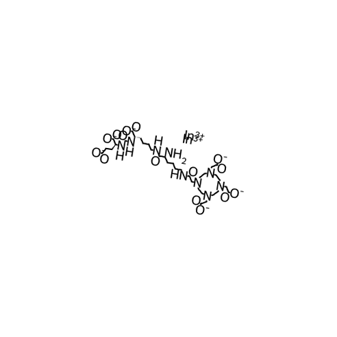 N[C@@H](CCCCNC(=O)CN1CCN(CC(=O)[O-])CCN(CC(=O)[O-])CCN(CC(=O)[O-])CC1)C(=O)NCCCC[C@H](NC(=O)N[C@@H](CCC(=O)[O-])C(=O)[O-])C(=O)[O-].[In+3].[In+3]